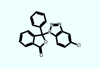 O=C1OC(c2ccccc2)(n2nnc3cc(Cl)ccc32)c2ccccc21